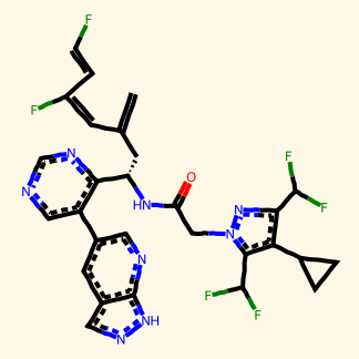 C=C(/C=C(F)\C=C\F)C[C@H](NC(=O)Cn1nc(C(F)F)c(C2CC2)c1C(F)F)c1ncncc1-c1cnc2[nH]ncc2c1